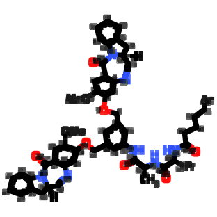 COc1cc2c(cc1OCc1cc(COc3cc4c(cc3OC)C(=O)N3c5ccccc5C[C@H]3C=N4)cc(NC(=O)[C@H](C)NC(=O)[C@@H](NC(=O)CCCCC(C)=O)C(C)C)c1)N=C[C@@H]1Cc3ccccc3N1C2=O